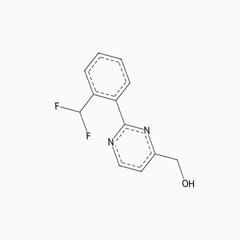 OCc1ccnc(-c2ccccc2C(F)F)n1